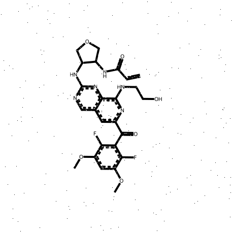 C=CC(=O)NC1COCC1Nc1ncc2cc(C(=O)c3c(F)c(OC)cc(OC)c3F)nc(NCCO)c2n1